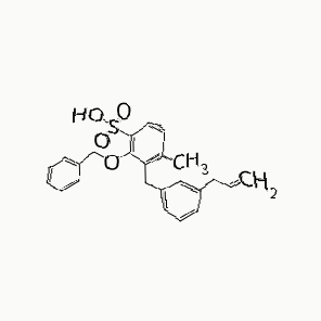 C=CCc1cccc(Cc2c(C)ccc(S(=O)(=O)O)c2OCc2ccccc2)c1